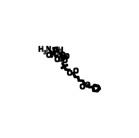 CN1C(=O)N(OS(=O)(=O)OCC(C)(C)CCOC(=O)CCCCC(=O)OCc2ccccc2)[C@@H]2CC[C@@]21C(N)=O